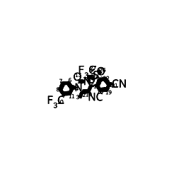 [C-]#[N+]C1=C(C)N(c2cccc(C(F)(F)F)c2)C(=O)N(C)[C@@H]1c1ccc(C#N)cc1S(=O)(=O)C(F)(F)F